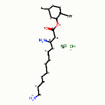 CC1CCC(C(C)C)C(OC(=O)CC(N)CCCCCCCCCN)C1.Cl.Cl